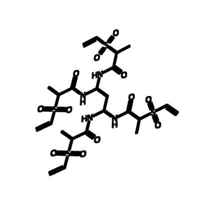 C=CS(=O)(=O)C(C)C(=O)NC(CC(NC(=O)C(C)S(=O)(=O)C=C)NC(=O)C(C)S(=O)(=O)C=C)NC(=O)C(C)S(=O)(=O)C=C